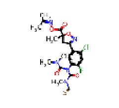 CC(C)=NOC(=O)C1(C)CC(c2cc(N(C(=O)N(C)C)C(=O)N(C)C=S)c(F)cc2Cl)=NO1